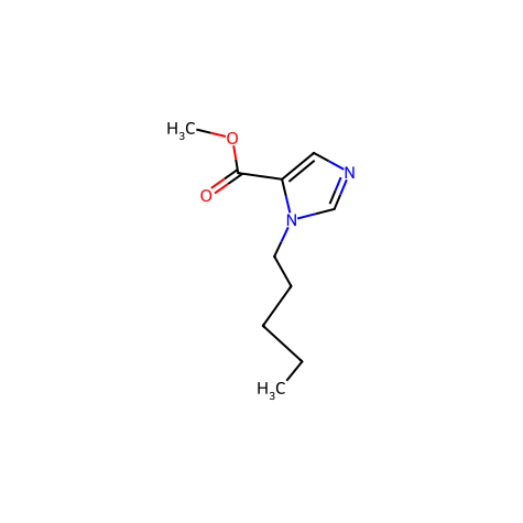 CCCCCn1cncc1C(=O)OC